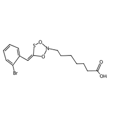 O=C(O)CCCCCCN1OS/C(=C\c2ccccc2Br)O1